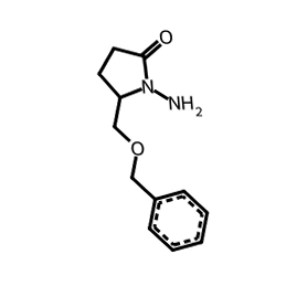 NN1C(=O)CCC1COCc1ccccc1